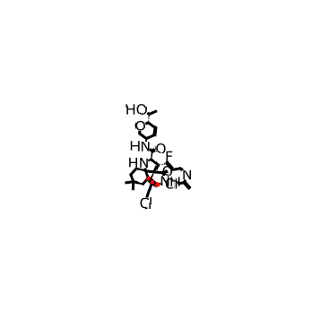 C=C(Cl)/N=C\C=C(/F)[C@H]1[C@H](C(=O)N[C@@H]2CC[C@@H](C(C)O)OC2)NC2(CCC(C)(C)CC2)[C@@]12C(=O)Nc1cc(Cl)ccc12